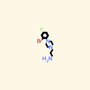 NCCCN1CCN(c2ccc(F)cc2Br)CC1